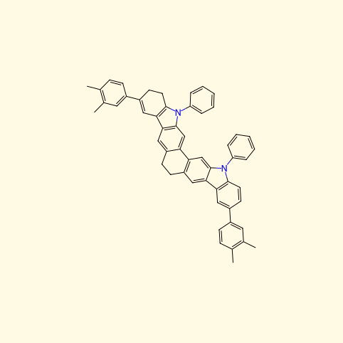 Cc1ccc(C2=Cc3c(n(-c4ccccc4)c4cc5c(cc34)CCc3cc4c6cc(-c7ccc(C)c(C)c7)ccc6n(-c6ccccc6)c4cc3-5)CC2)cc1C